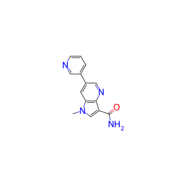 Cn1cc(C(N)=O)c2ncc(-c3cccnc3)cc21